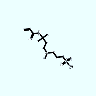 C=CC(=O)NC(C)(C)CCN(C)CCCS(=O)(=O)O